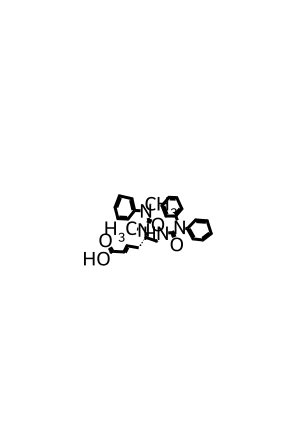 CN(C(=O)N(C)[C@@H](C/C=C/C(=O)O)CNC(=O)N(c1ccccc1)c1ccccc1)c1ccccc1